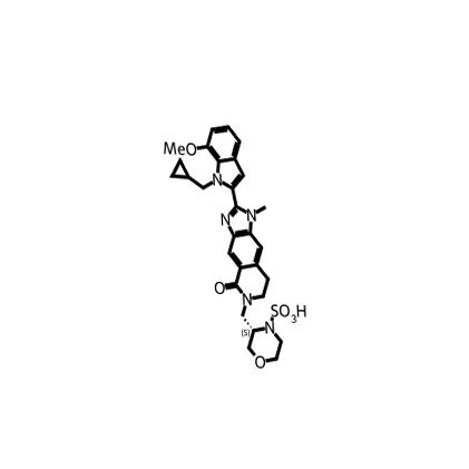 COc1cccc2cc(-c3nc4cc5c(cc4n3C)CCN(C[C@H]3COCCN3S(=O)(=O)O)C5=O)n(CC3CC3)c12